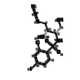 [N-]=[N+]=NC[C@@H](O)[C@H](CO)NS(=O)(=O)c1ccc(F)cc1Cl